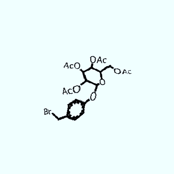 CC(=O)OCC1OC(Oc2ccc(CBr)cc2)C(OC(C)=O)C(OC(C)=O)C1OC(C)=O